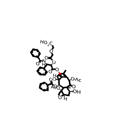 CC(=O)O[C@H]1C(=O)[C@@]2(C)C([C@H](OC(=O)c3ccccc3)[C@]3(O)C[C@H](OC(=O)[C@H](OC(=O)COCC(=O)O)[C@@H](NC(=O)c4ccccc4)c4ccccc4)C(C)=C1C3(C)C)[C@]1(OC(C)=O)CO[C@@H]1C[C@@H]2O